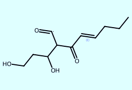 CCC/C=C/C(=O)C([C]=O)C(O)CCO